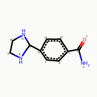 NC(=O)c1ccc(C2NCCN2)cc1